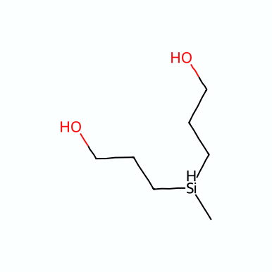 C[SiH](CCCO)CCCO